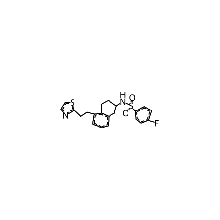 O=S(=O)(NC1CCc2c(CCc3nccs3)cccc2C1)c1ccc(F)cc1